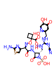 N#CN=C(NCc1cc(=O)c(O)cn1O)NC[C@H]1[C@H](NC(=O)C(=NOC2(C(=O)O)CCC2)c2csc(N)n2)C(=O)N1S(=O)(=O)O